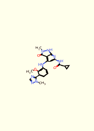 COc1c(Nc2cc(NC(=O)C3CC3)nc3[nH]n(C)c(=O)c23)cccc1-c1ncnn1C